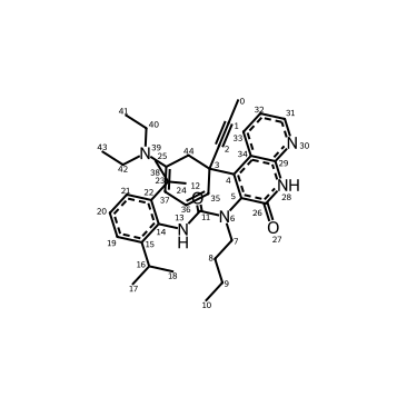 CC#CC1(c2c(N(CCCC)C(=O)Nc3c(C(C)C)cccc3C(C)C)c(=O)[nH]c3ncccc23)C=CC=C(N(CC)CC)C1